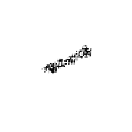 CC(C)(C)c1noc(N2CCC(COc3ccc(-c4ccc(S(C)(=O)=O)cc4)cc3)CC2)n1